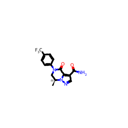 C[C@H]1CN(c2ccc(C(F)(F)F)cc2)C(=O)c2c(C(N)=O)cnn21